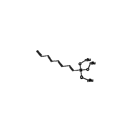 C=C/C=C/C=C/C=C/[Si](OCCCC)(OCCCC)OCCCC